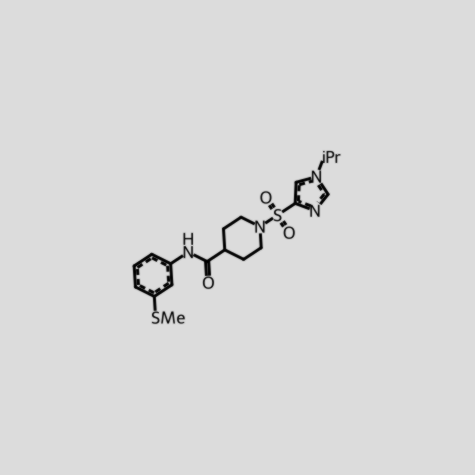 CSc1cccc(NC(=O)C2CCN(S(=O)(=O)c3cn(C(C)C)cn3)CC2)c1